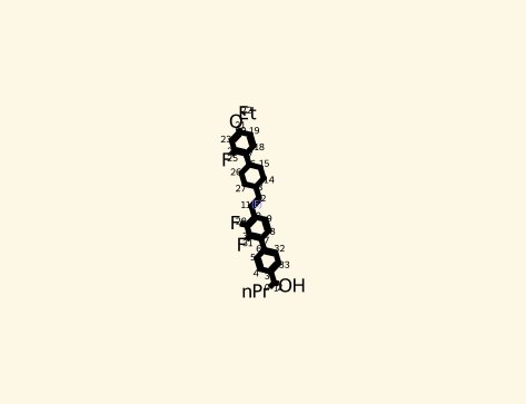 CCCC(O)c1ccc(-c2ccc(/C=C/C3CCC(c4ccc(OCC)cc4F)CC3)c(F)c2F)cc1